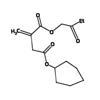 C=C(CC(=O)OC1CCCCC1)C(=O)OCC(=O)CC